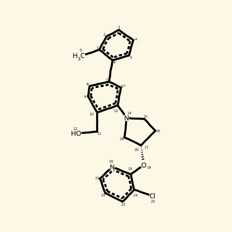 Cc1ccccc1-c1ccc(CO)c(N2CC[C@H](Oc3ncccc3Cl)C2)c1